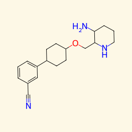 N#Cc1cccc(C2CCC(OCC3NCCCC3N)CC2)c1